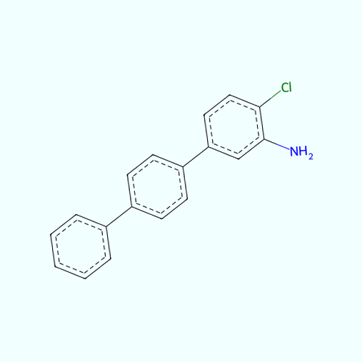 Nc1cc(-c2ccc(-c3ccccc3)cc2)ccc1Cl